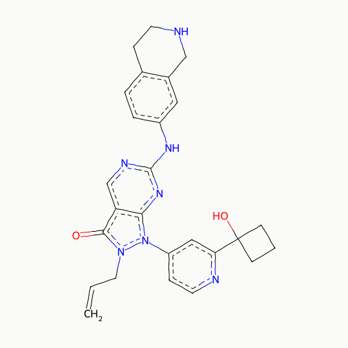 C=CCn1c(=O)c2cnc(Nc3ccc4c(c3)CNCC4)nc2n1-c1ccnc(C2(O)CCC2)c1